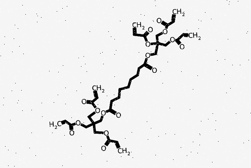 C=CC(=O)OCC(COC(=O)C=C)(COC(=O)C=C)COC(=O)CCCCCCCC(=O)OCC(COC(=O)C=C)(COC(=O)C=C)OC(=O)C=C